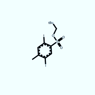 Cc1cc(I)c(S(=O)(=O)OCC(C)(C)C)cc1I